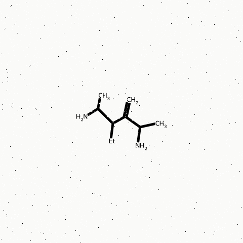 C=C(C(C)N)C(CC)C(C)N